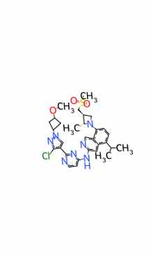 COC1CC(n2cc(-c3nccc(Nc4cc5c(C(C)C)ccc(N6C[C@H](CS(C)(=O)=O)[C@H]6C)c5cn4)n3)c(Cl)n2)C1